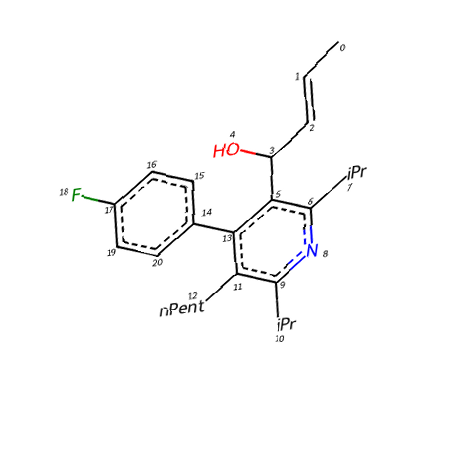 CC=CC(O)c1c(C(C)C)nc(C(C)C)c(CCCCC)c1-c1ccc(F)cc1